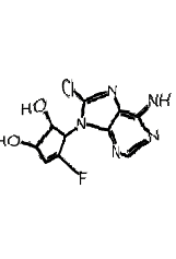 Nc1ncnc2c1nc(Cl)n2C1C(F)=CC(O)C1O